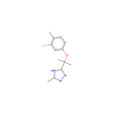 Cc1nnc(C(C)(C)Oc2ccc(C)c(F)c2)[nH]1